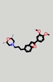 COc1ccc(-c2cc3cc(CCCN4C[C@@H](C)O[C@@H](C)C4)ccc3o2)cc1OC